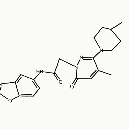 Cc1cc(=O)n(CC(=O)Nc2ccc3ocnc3c2)nc1N1CCC(C)CC1